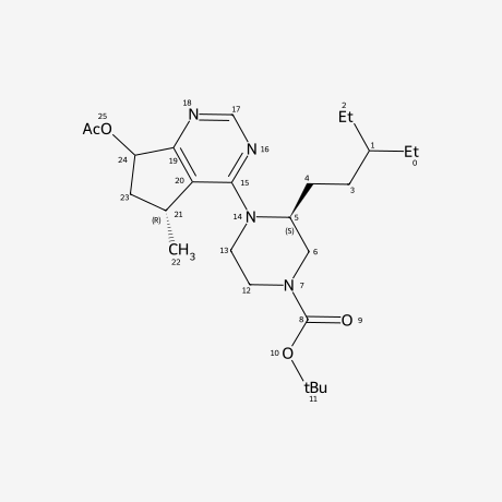 CCC(CC)CC[C@H]1CN(C(=O)OC(C)(C)C)CCN1c1ncnc2c1[C@H](C)CC2OC(C)=O